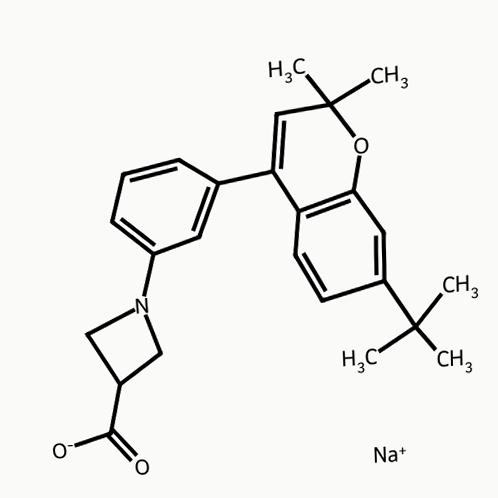 CC1(C)C=C(c2cccc(N3CC(C(=O)[O-])C3)c2)c2ccc(C(C)(C)C)cc2O1.[Na+]